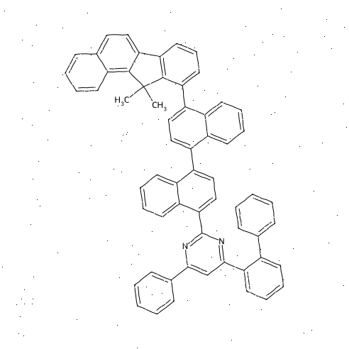 CC1(C)c2c(cccc2-c2ccc(-c3ccc(-c4nc(-c5ccccc5)cc(-c5ccccc5-c5ccccc5)n4)c4ccccc34)c3ccccc23)-c2ccc3ccccc3c21